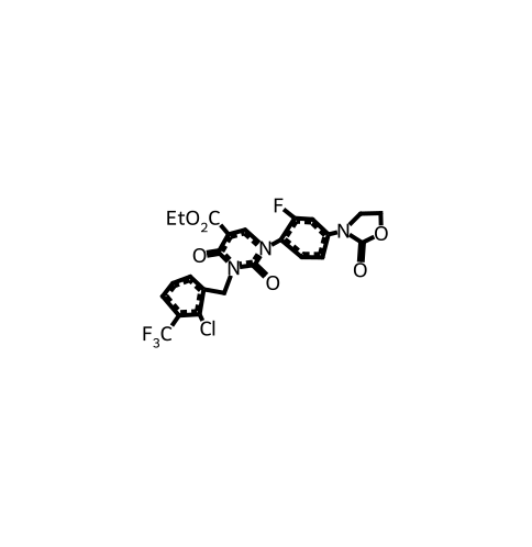 CCOC(=O)c1cn(-c2ccc(N3CCOC3=O)cc2F)c(=O)n(Cc2cccc(C(F)(F)F)c2Cl)c1=O